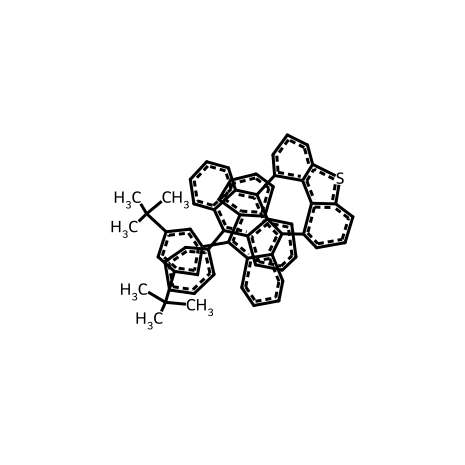 CC(C)(C)c1cc(-c2c3ccccc3c(-c3cccc4sc5cccc(-c6c7ccccc7c(-c7ccccc7)c7ccccc67)c5c34)c3ccccc23)cc(C(C)(C)C)c1